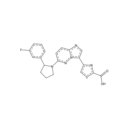 O=C(O)c1nc(-c2cnc3ccc(N4CCCC4c4cccc(F)c4)nn23)cs1